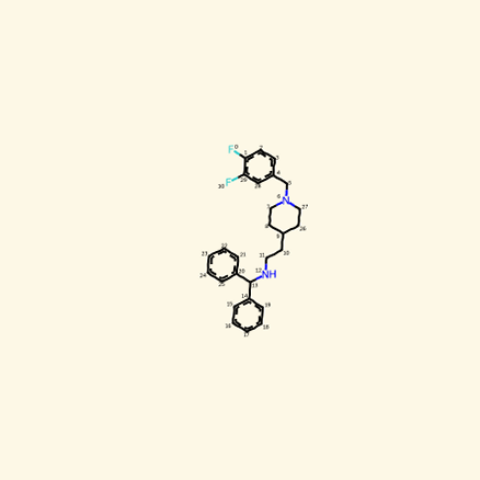 Fc1ccc(CN2CCC(CCNC(c3ccccc3)c3ccccc3)CC2)cc1F